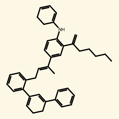 C=C(CCCCC)c1cc(/C(C)=C/Cc2ccccc2C2=CCCC(c3ccccc3)=C2)ccc1NC1=CC=CCC1